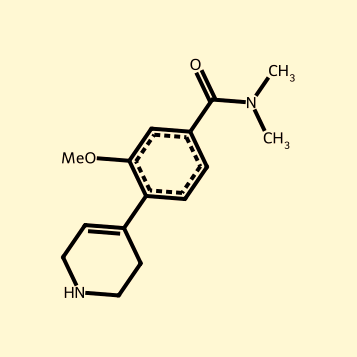 COc1cc(C(=O)N(C)C)ccc1C1=CCNCC1